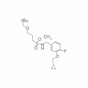 C[C@@H](NS(=O)(=O)CCCOCC(C)(C)C)c1ccc(F)c(OCC2CC2)c1